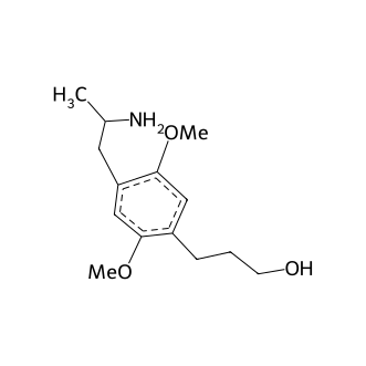 COc1cc(CC(C)N)c(OC)cc1CCCO